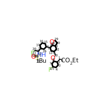 CCOC(=O)Cc1ccc(F)cc1OCc1cc(-c2cccc(C(CF)N[S@+]([O-])C(C)(C)C)c2)c2occc2c1